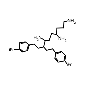 CC(C)c1ccc(CCC(CCc2ccc(C(C)C)cc2)C(N)CCC(N)CCCN)cc1